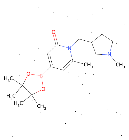 Cc1cc(B2OC(C)(C)C(C)(C)O2)cc(=O)n1CC1CCN(C)C1